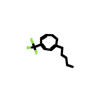 CCCCC/C1=C/C=C(C(F)(F)F)\C=C/CC1